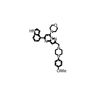 COc1ccc(N2CCN(Cc3cc4nc(-c5cccc6[nH]ccc56)cc(N5CCOCC5)n4n3)CC2)cc1